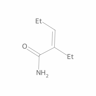 CCC=C(CC)C(N)=O